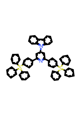 c1ccc(S(c2ccccc2)(c2ccccc2)c2ccc(-c3cc(-n4c5ccccc5c5ccccc54)cc(-c4ccc(S(c5ccccc5)(c5ccccc5)c5ccccc5)cc4)n3)cc2)cc1